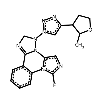 CC1OCCC1c1cn(N2CN=C3c4ccccc4-n4c(cnc4F)N32)nn1